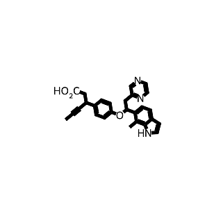 CC#CC(CC(=O)O)c1ccc(OC(Cc2cnccn2)c2ccc3cc[nH]c3c2C)cc1